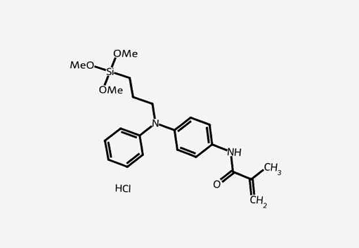 C=C(C)C(=O)Nc1ccc(N(CCC[Si](OC)(OC)OC)c2ccccc2)cc1.Cl